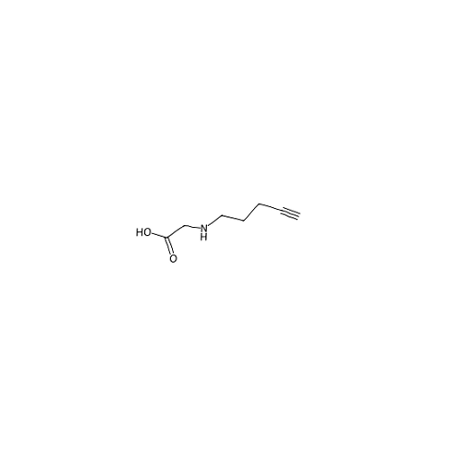 C#CCCCNCC(=O)O